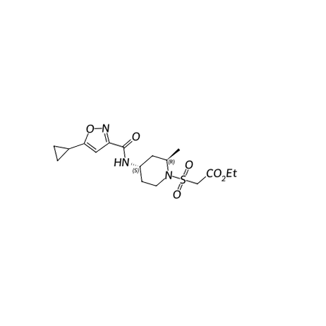 CCOC(=O)CS(=O)(=O)N1CC[C@H](NC(=O)c2cc(C3CC3)on2)C[C@H]1C